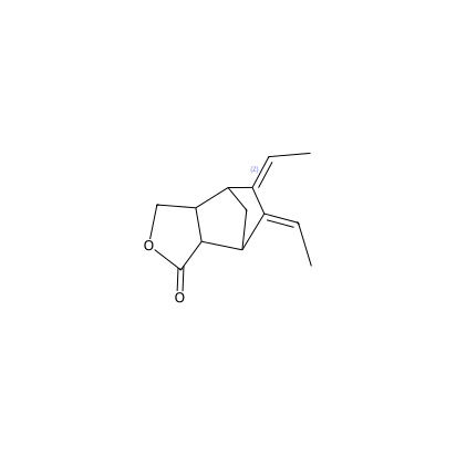 CC=C1/C(=C\C)C2CC1C1C(=O)OCC21